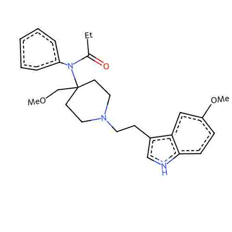 CCC(=O)N(c1ccccc1)C1(COC)CCN(CCc2c[nH]c3ccc(OC)cc23)CC1